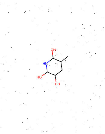 CC1CC(O)C(O)NC1O